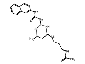 CC(=O)NCCCNC1CC(C)NC(NC(=O)Nc2ccc3ccccc3c2)N1